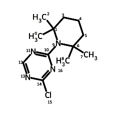 CC1(C)CCCC(C)(C)N1c1ncnc(Cl)n1